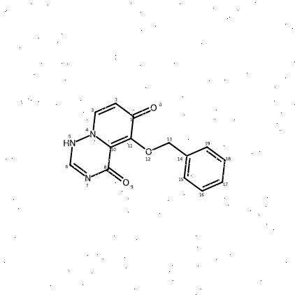 O=c1ccn2[nH]cnc(=O)c2c1OCc1ccccc1